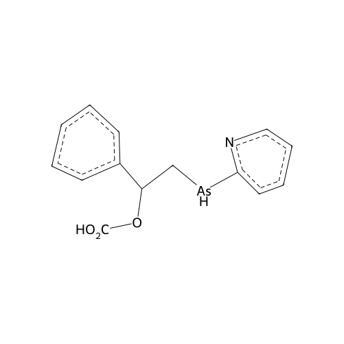 O=C(O)OC(C[AsH]c1ccccn1)c1ccccc1